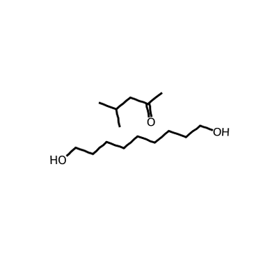 CC(=O)CC(C)C.OCCCCCCCCCO